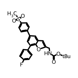 CC(C)(C)OC(=O)NCc1cc2cc(-c3ccc(S(C)(=O)=O)cc3)cc(-c3ccc(F)cc3)c2o1